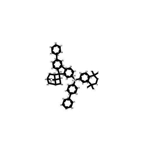 CC1(C)CCC(C)(C)c2cc(N(c3ccc(-c4ccccc4)cc3)c3ccc4c(c3)C3(c5ccc(-c6ccccc6)cc5-4)C4CC5CC6CC3C64C5)ccc21